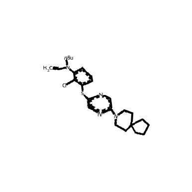 C=CN(CCCC)c1cccc(Sc2cnc(N3CCC4(CCCC4)CC3)cn2)c1Cl